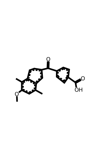 COc1cc(C)c2cc(C(=O)c3ccc(C(=O)O)cc3)ccc2c1C